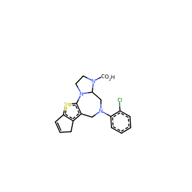 O=C(O)N1CCN2c3sc4c(c3CN(c3ccccc3Cl)CC12)CC=C4